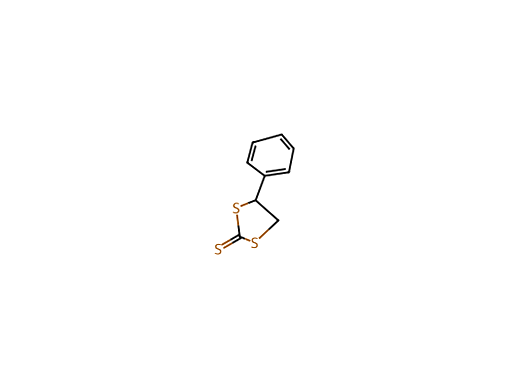 S=C1SCC(c2ccccc2)S1